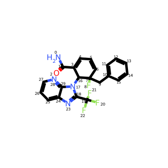 NC(=O)C1=CC=CC(F)(Cc2ccccc2)C1n1c(C(F)(F)F)nc2cccnc21